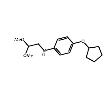 COC(CNc1ccc(OC2CCCC2)cc1)OC